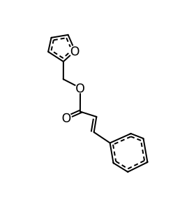 O=C(C=Cc1ccccc1)OCc1ccco1